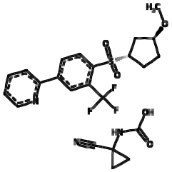 CO[C@H]1CC[C@H](S(=O)(=O)c2ccc(-c3ccccn3)cc2C(F)(F)F)C1.N#CC1(NC(=O)O)CC1